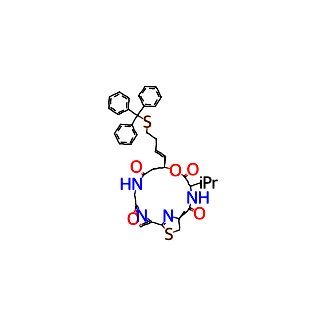 CC(C)C1NC(=O)[C@]2(C)CSC(=N2)c2coc(n2)CNC(=O)C[C@@H](/C=C/CCSC(c2ccccc2)(c2ccccc2)c2ccccc2)OC1=O